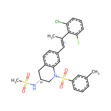 C/C(=C\c1ccc2c(c1)N(S(=O)(=O)c1cccc(C)c1)C[C@H](NS(C)(=O)=O)C2)c1c(F)cccc1Cl